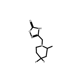 CC1CC(F)(F)CCN1Cc1noc(=O)[nH]1